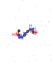 COC(=O)N[C@H](C(=O)N1CCC[C@H]1c1nc(-c2ccc(-c3cnc4cc(-c5cnc([C@@H]6CCCN6C(=O)[C@@H](CCc6ccccc6)N(C)C(=O)O)[nH]5)ccc4n3)cc2)c[nH]1)C(C)C